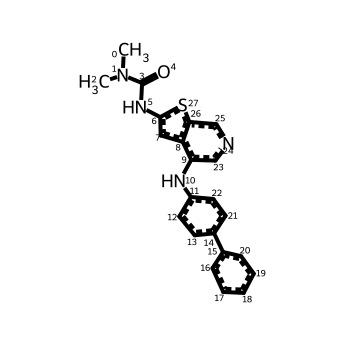 CN(C)C(=O)Nc1cc2c(Nc3ccc(-c4ccccc4)cc3)cncc2s1